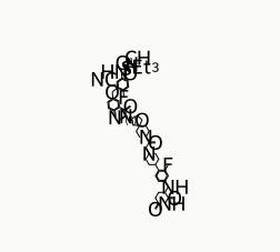 CCN(C)S(=O)(=O)Nc1ccc(F)c(Oc2ccc3ncn([C@@H]4COC5(CCN(C(=O)CN6CCC(c7ccc(NC8CCC(=O)NC8=O)cc7F)CC6)CC5)C4)c(=O)c3c2)c1C#N